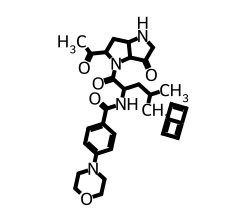 CC(=O)C1CC2NCC(=O)C2N1C(=O)C(CC(C)C)NC(=O)c1ccc(N2CCOCC2)cc1.c1cc2ccc1-2